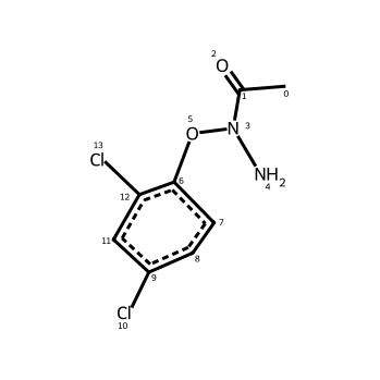 CC(=O)N(N)Oc1ccc(Cl)cc1Cl